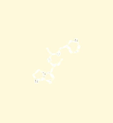 C/C=C(\OC(C)OCc1cccnc1)C1=CSC2=NCCN12